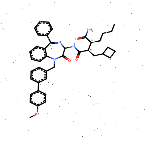 CCCC[C@H](C(N)=O)[C@@H](CC1CCC1)C(=O)NC1N=C(c2ccccc2)c2ccccc2N(Cc2cccc(-c3ccc(OC)cc3)c2)C1=O